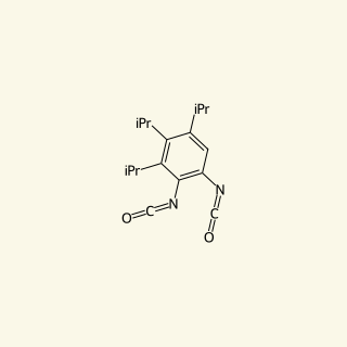 CC(C)c1cc(N=C=O)c(N=C=O)c(C(C)C)c1C(C)C